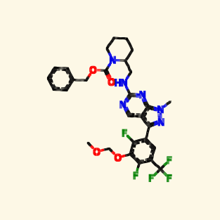 COCOc1c(F)c(-c2nn(C)c3nc(NCC4CCCCN4C(=O)OCc4ccccc4)ncc23)cc(C(F)(F)F)c1F